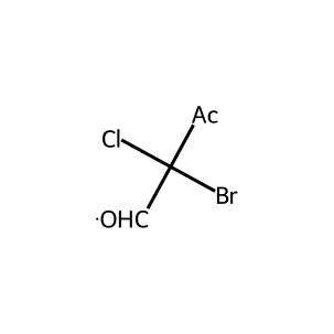 CC(=O)C(Cl)(Br)[C]=O